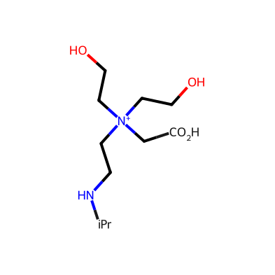 CC(C)NCC[N+](CCO)(CCO)CC(=O)O